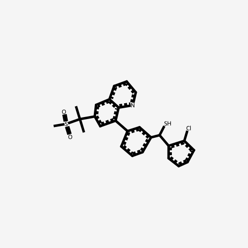 CC(C)(c1cc(-c2cccc(C(S)c3ccccc3Cl)c2)c2ncccc2c1)S(C)(=O)=O